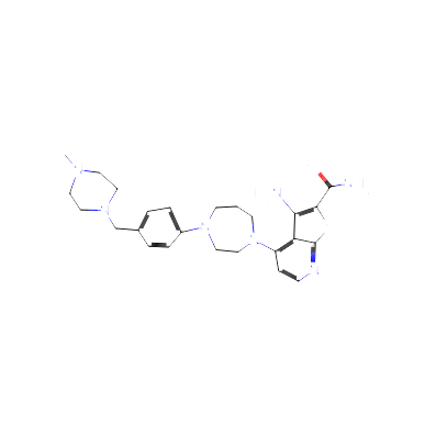 CN1CCN(Cc2ccc(N3CCCN(c4ccnc5sc(C(N)=O)c(N)c45)CC3)cc2)CC1